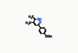 C=C1NN=C(c2ccc(OC)cc2)C=C1C